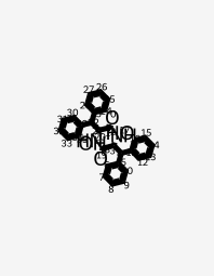 O=C1NC(C(c2ccccc2)c2ccccc2O)C(=O)NC1C(c1ccccc1)c1ccccc1O